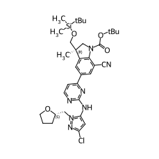 CC(C)(C)OC(=O)N1C[C@](C)(CO[Si](C)(C)C(C)(C)C)c2cc(-c3ccnc(Nc4cc(Cl)nn4C[C@@H]4CCCO4)n3)cc(C#N)c21